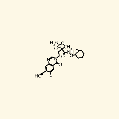 C#Cc1cc2ncn(CCC(C)(C(=O)NOC3CCCCO3)S(C)(=O)=O)c(=O)c2cc1F